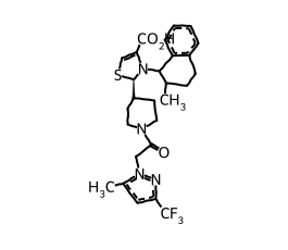 Cc1cc(C(F)(F)F)nn1CC(=O)N1CCC([C@H]2SC=C(C(=O)O)N2C2c3ccccc3CCC2C)CC1